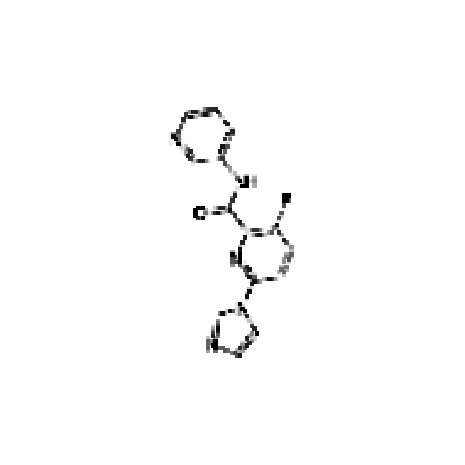 O=C(Nc1cccnc1)c1nc(-n2ccnc2)ccc1F